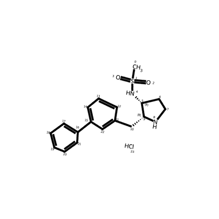 CS(=O)(=O)N[C@@H]1CCN[C@@H]1Cc1cccc(-c2ccccc2)c1.Cl